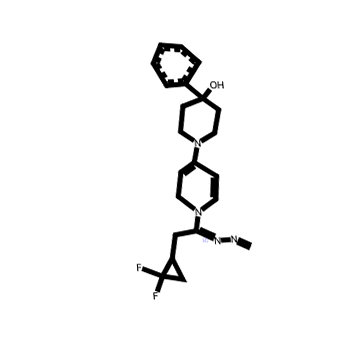 C=N/N=C(/CC1CC1(F)F)N1C=CC(N2CCC(O)(c3ccccc3)CC2)=CC1